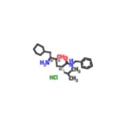 CC(C)C[C@H](C[C@H](O)[C@@H](N)CC1CCCCC1)C(=O)NCc1ccccc1.Cl